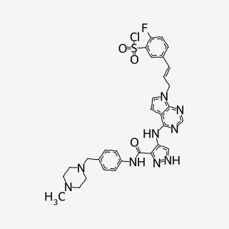 CN1CCN(Cc2ccc(NC(=O)c3n[nH]cc3Nc3ncnc4c3ccn4C/C=C/c3ccc(F)c(S(=O)(=O)Cl)c3)cc2)CC1